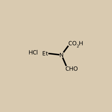 CCN(C=O)C(=O)O.Cl